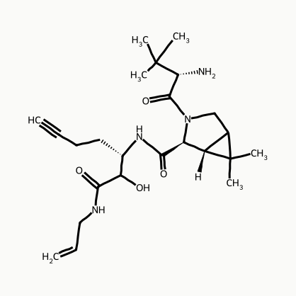 C#CCC[C@H](NC(=O)[C@@H]1[C@@H]2C(CN1C(=O)[C@@H](N)C(C)(C)C)C2(C)C)C(O)C(=O)NCC=C